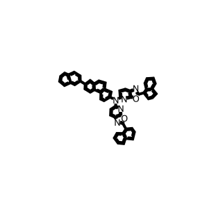 c1ccc2cc(-c3ccc4c(ccc5cc(N(c6ccc7nc(-c8cccc9ccccc89)oc7n6)c6ccc7nc(-c8cccc9ccccc89)oc7n6)ccc54)c3)ccc2c1